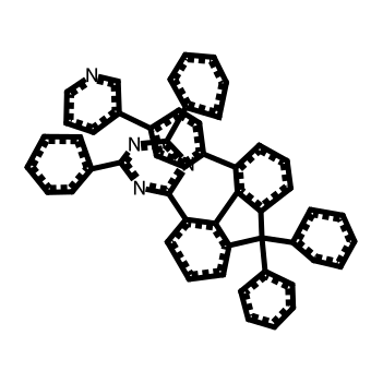 c1ccc(-c2nc(-c3ccccc3)nc(-c3cccc4c3-c3c(-c5ccc(-c6cccnc6)cc5)cccc3C4(c3ccccc3)c3ccccc3)n2)cc1